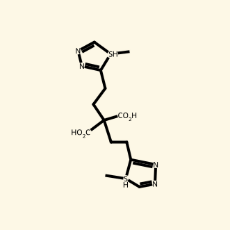 C[SH]1C=NN=C1CCC(CCC1=NN=C[SH]1C)(C(=O)O)C(=O)O